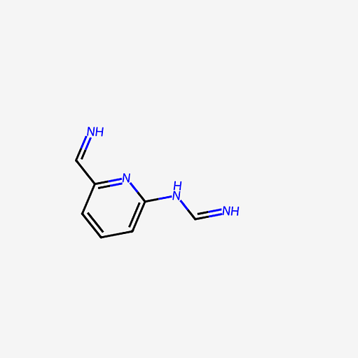 N=CNc1cccc(C=N)n1